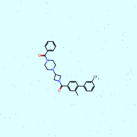 Cc1cc(C(=O)N2CC(N3CCN(C(=O)c4ccccc4)CC3)C2)ccc1-c1cccc(C(F)(F)F)c1